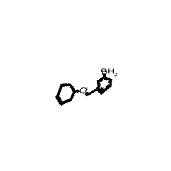 Bc1cccc(COC2CCCCC2)c1